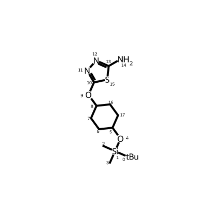 CC(C)(C)[Si](C)(C)OC1CCC(Oc2nnc(N)s2)CC1